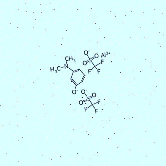 CN(C)c1cccc([O-])c1.O=S(=O)([O-])C(F)(F)F.O=S(=O)([O-])C(F)(F)F.[Al+3]